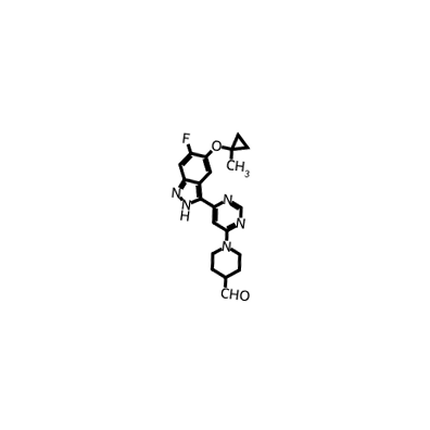 CC1(Oc2cc3c(-c4cc(N5CCC(C=O)CC5)ncn4)[nH]nc3cc2F)CC1